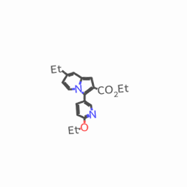 CCOC(=O)c1cc2cc(CC)ccn2c1-c1ccc(OCC)nc1